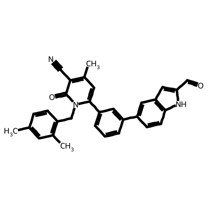 Cc1ccc(Cn2c(-c3cccc(-c4ccc5[nH]c(C=O)cc5c4)c3)cc(C)c(C#N)c2=O)c(C)c1